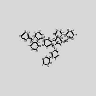 c1ccc(-c2cccc(-n3c4ccc(-c5cccc6c5c5ccccc5n6-c5ccccc5)cc4c4c5cccc6c5c(cc43)Oc3ccccc3-6)c2)cc1